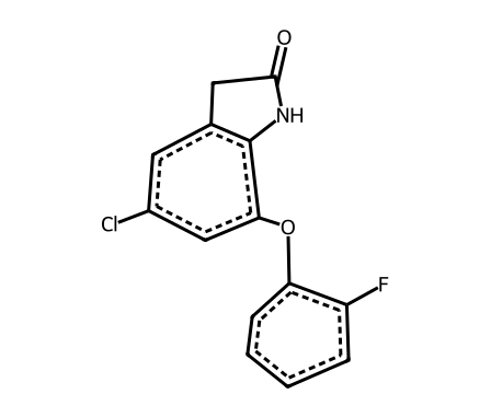 O=C1Cc2cc(Cl)cc(Oc3ccccc3F)c2N1